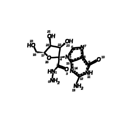 NNC(=O)[C@@]1(n2cnc3c(=O)[nH]c(N)nc32)O[C@H](CO)[C@@H](O)[C@H]1O